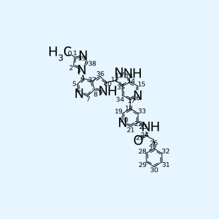 Cc1cn(-c2cncc3[nH]c(-c4n[nH]c5cnc(-c6cncc(NC(=O)Cc7ccccc7)c6)cc45)cc23)cn1